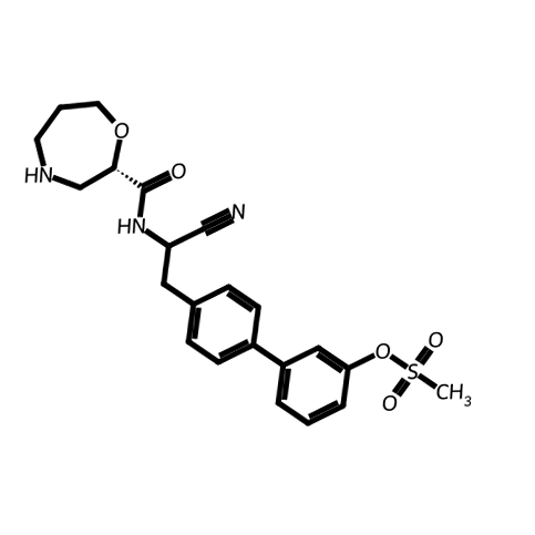 CS(=O)(=O)Oc1cccc(-c2ccc(CC(C#N)NC(=O)[C@@H]3CNCCCO3)cc2)c1